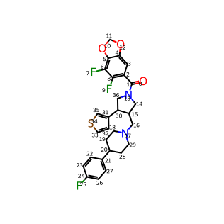 O=C(c1cc2c(c(F)c1F)OCO2)N1CC(CN2CCC(c3ccc(F)cc3)CC2)C(c2ccsc2)C1